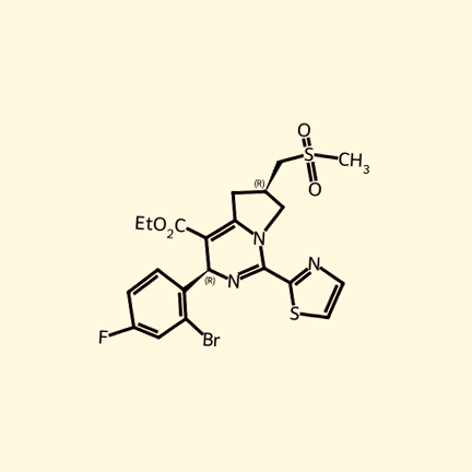 CCOC(=O)C1=C2C[C@@H](CS(C)(=O)=O)CN2C(c2nccs2)=N[C@H]1c1ccc(F)cc1Br